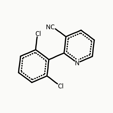 N#Cc1cccnc1-c1c(Cl)cccc1Cl